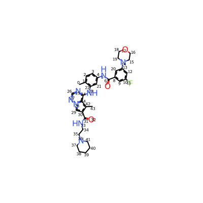 Cc1ccc(NC(=O)c2cc(F)cc(N3CCOCC3)c2)cc1Nc1ncnn2cc(C(=O)NCCN3CCCCC3)c(C)c12